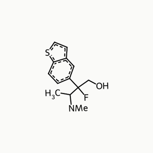 CNC(C)C(F)(CO)c1ccc2sccc2c1